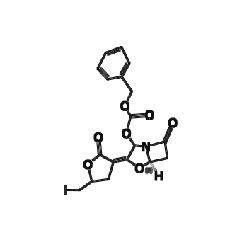 O=C(OCc1ccccc1)OC1C(=C2CC(CI)OC2=O)O[C@@H]2CC(=O)N12